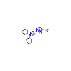 C1=CCC(C(C2=CCCC=C2)N2CC(n3ccc(C4CC4)n3)C2)C=C1